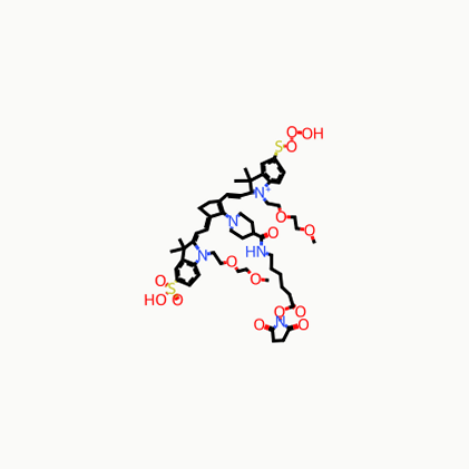 COCCOCCN1C(=CC=C2CCC(C=CC3=[N+](CCOCCOC)c4ccc(SOOO)cc4C3(C)C)=C2N2CCC(C(=O)NCCCCCC(=O)ON3C(=O)CCC3=O)CC2)C(C)(C)c2cc(S(=O)(=O)O)ccc21